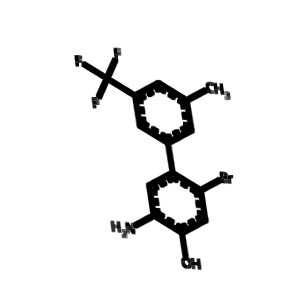 Cc1cc(-c2cc(N)c(O)cc2Br)cc(C(F)(F)F)c1